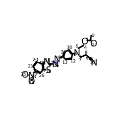 CC(=O)OCCN(CCC#N)c1ccc(/N=N/c2nc3ccc([N+](=O)[O-])cc3s2)cc1